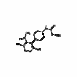 Cc1c[nH]c2ncc(C#N)c(N3CCC(NC(=O)OC(C)(C)C)CC3)c12